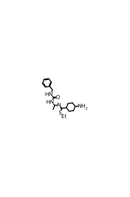 CCS/C(=N\C(C)NC(=O)NCc1ccccc1)C1CCC(N)CC1